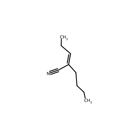 CC/C=C(\C#N)CCCC